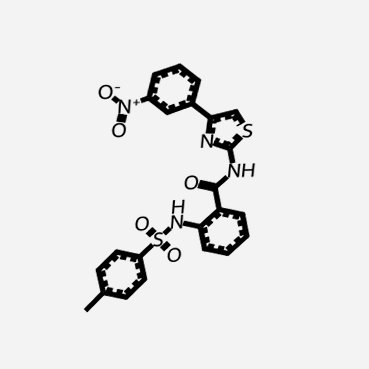 Cc1ccc(S(=O)(=O)Nc2ccccc2C(=O)Nc2nc(-c3cccc([N+](=O)[O-])c3)cs2)cc1